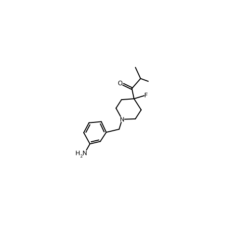 CC(C)C(=O)C1(F)CCN(Cc2cccc(N)c2)CC1